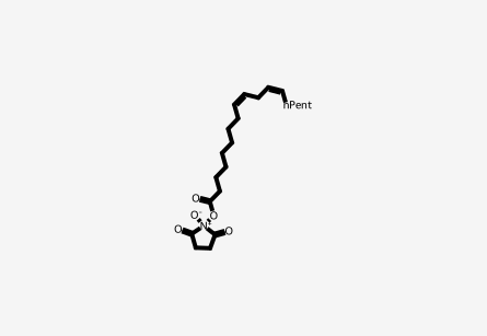 CCCCC/C=C\C/C=C\CCCCCCCC(=O)O[N+]1([O-])C(=O)CCC1=O